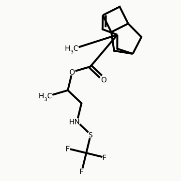 CC(CNSC(F)(F)F)OC(=O)C1(C)C=C2CC3CC(CC23)C1